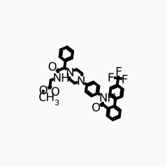 COC(=O)CNC(=O)C(c1ccccc1)N1CCN(c2ccc(NC(=O)c3ccccc3-c3ccc(C(F)(F)F)cc3)cc2)CC1